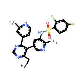 CCc1ncnc(-c2ccnc(C)c2)c1-c1cnc(C)c(NS(=O)(=O)c2ccc(F)cc2F)c1